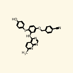 Cc1ccc2c(Nc3cc(OCc4ccc(C#N)cc4)ccc3Sc3ccc(O)cc3)ncnc2n1